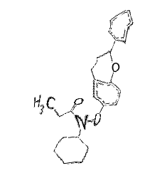 CCC(=O)N(Oc1ccc2c(c1)CCC(c1ccccc1)O2)C1CCCCC1